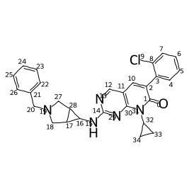 O=c1c(-c2ccccc2Cl)cc2cnc(NC3C4CN(Cc5ccccc5)CC43)nc2n1C1CC1